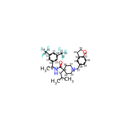 CC(C)CC1(C(=O)N[C@H](C)c2cc(C(F)(F)F)cc(C(F)(F)F)c2)CCN(Cc2ccc3c(c2)CCO3)CC1